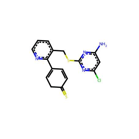 Nc1cc(Cl)nc(SCc2cccnc2C2=CCC(=S)C=C2)n1